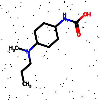 CCCN(C)C1CCC(NC(=O)O)CC1